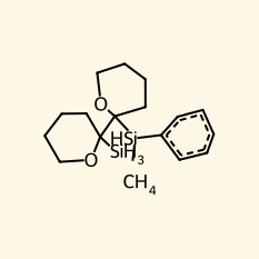 C.C[SiH](c1ccccc1)C1(C2([SiH3])CCCCO2)CCCCO1